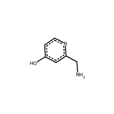 NCc1cc(O)ccn1